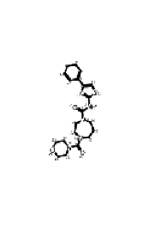 O=C(Nc1nc(C2=CCCC=C2)cs1)N1CCCN(C(=O)N2CCOCC2)CC1